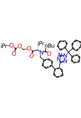 CCCCC(=O)N(Cc1ccc(-c2ccccc2-c2nnn(C(c3ccccc3)(c3ccccc3)c3ccccc3)n2)cc1)[C@H](C(=O)OCOC(=O)OC(C)C)C(C)C